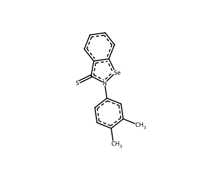 Cc1ccc(-n2[se]c3ccccc3c2=S)cc1C